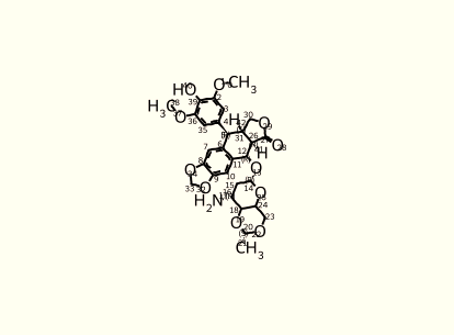 COc1cc([C@@H]2c3cc4c(cc3[C@H](O[C@H]3C[C@@H](N)C5O[C@@H](C)OCC5O3)[C@@H]3C(=O)OC[C@@H]23)OCO4)cc(OC)c1O